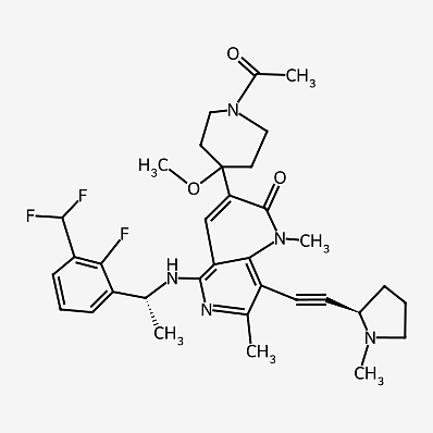 COC1(c2cc3c(N[C@H](C)c4cccc(C(F)F)c4F)nc(C)c(C#C[C@H]4CCCN4C)c3n(C)c2=O)CCN(C(C)=O)CC1